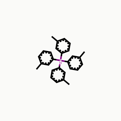 Cc1cccc([PH](c2cccc(C)c2)(c2cccc(C)c2)c2cccc(C)c2)c1